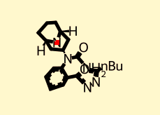 CCCCc1nnc(-c2ccccc2N(C(N)=O)[C@H]2C[C@H]3CCC[C@@H](C2)N3C)o1